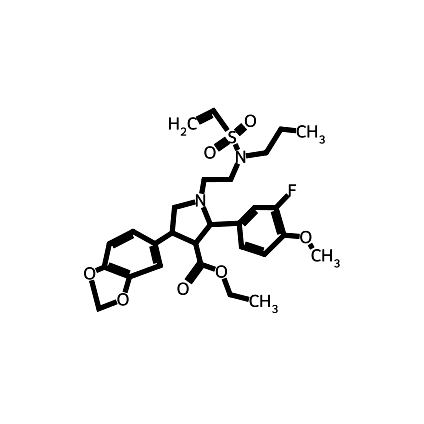 C=CS(=O)(=O)N(CCC)CCN1CC(c2ccc3c(c2)OCO3)C(C(=O)OCC)C1c1ccc(OC)c(F)c1